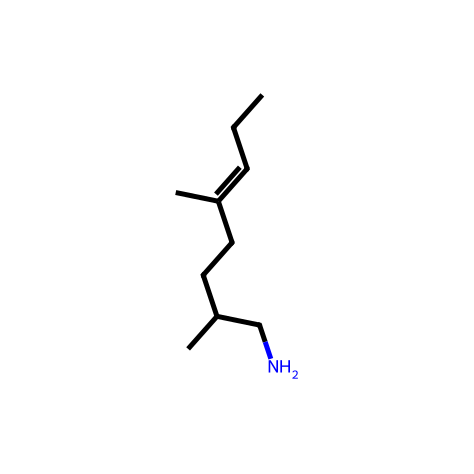 CC/C=C(\C)CCC(C)CN